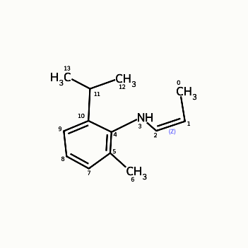 C/C=C\Nc1c(C)cccc1C(C)C